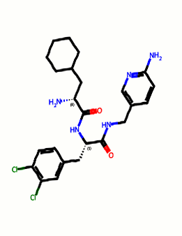 Nc1ccc(CNC(=O)[C@H](Cc2ccc(Cl)c(Cl)c2)NC(=O)[C@H](N)CC2CCCCC2)cn1